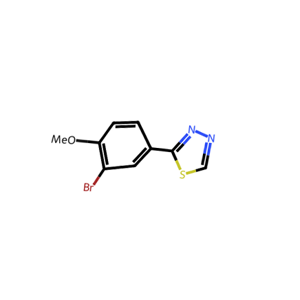 COc1ccc(-c2nncs2)cc1Br